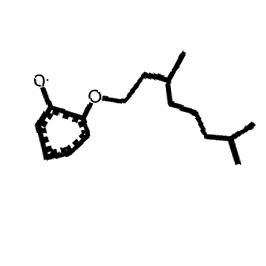 CC(C)CCCC(C)CCOc1ccccc1[O]